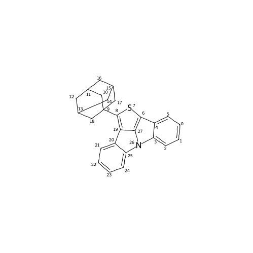 c1ccc2c(c1)c1sc(C34CC5CC(CC(C5)C3)C4)c3c4ccccc4n2c13